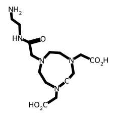 NCCNC(=O)CN1CCN(CC(=O)O)CCN(CC(=O)O)CC1